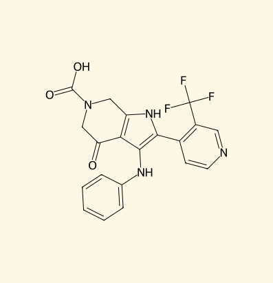 O=C1CN(C(=O)O)Cc2[nH]c(-c3ccncc3C(F)(F)F)c(Nc3ccccc3)c21